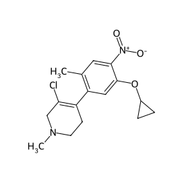 Cc1cc([N+](=O)[O-])c(OC2CC2)cc1C1=C(Cl)CN(C)CC1